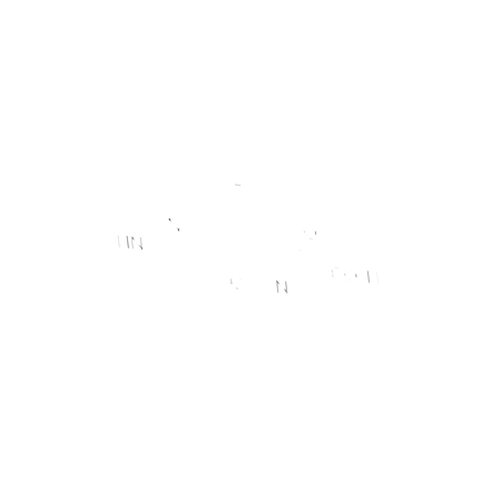 O=C(O)c1cn2c3c(c(-c4cc5n(c4)CCNC5)c(CF)cc3c1=O)OCC2